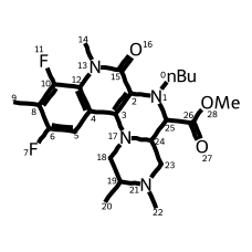 CCCCN1c2c(c3cc(F)c(C)c(F)c3n(C)c2=O)N2CC(C)N(C)CC2C1C(=O)OC